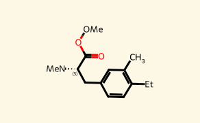 CCc1ccc(C[C@H](NC)C(=O)OOC)cc1C